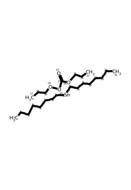 CCCCCCC[CH2][Sn][CH2]CCCCCCC.CCCOOC(=O)OCCC